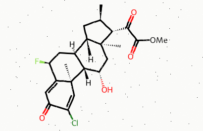 COC(=O)C(=O)[C@H]1[C@H](C)C[C@H]2[C@@H]3C[C@H](F)C4=CC(=O)C(Cl)=C[C@]4(C)[C@H]3[C@@H](O)C[C@@]21C